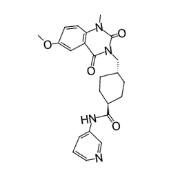 COc1ccc2c(c1)c(=O)n(C[C@H]1CC[C@H](C(=O)Nc3cccnc3)CC1)c(=O)n2C